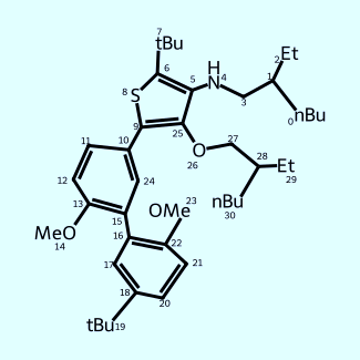 CCCCC(CC)CNc1c(C(C)(C)C)sc(-c2ccc(OC)c(-c3cc(C(C)(C)C)ccc3OC)c2)c1OCC(CC)CCCC